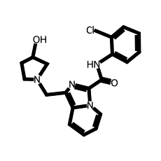 O=C(Nc1ccccc1Cl)c1nc(CN2CCC(O)C2)c2ccccn12